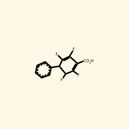 O=C(O)C1=C(F)C(F)C(c2ccccc2)C(F)=C1F